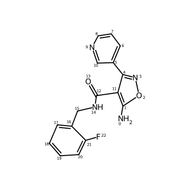 Nc1onc(-c2cccnc2)c1C(=O)NCc1ccccc1F